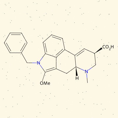 COc1c2c3c(cccc3n1Cc1ccccc1)C1=C[C@@H](C(=O)O)CN(C)[C@@H]1C2